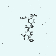 CCNc1cc(C(=O)Nc2ccc(OC)c(OC)c2)ccc1CO